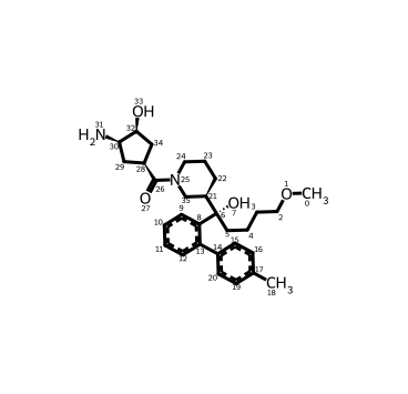 COCCCC[C@@](O)(c1ccccc1-c1ccc(C)cc1)[C@@H]1CCCN(C(=O)[C@H]2C[C@@H](N)[C@@H](O)C2)C1